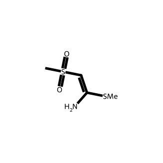 CSC(N)=CS(C)(=O)=O